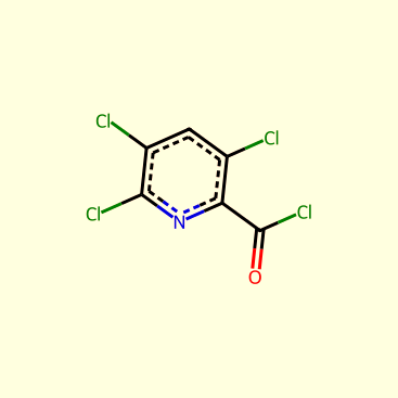 O=C(Cl)c1nc(Cl)c(Cl)cc1Cl